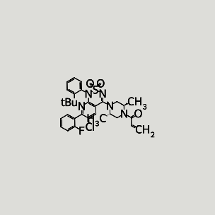 C=CC(=O)N1C[C@H](C)N(C2=NS(=O)(=O)N(c3ccccc3C(C)(C)C)c3nc(-c4ccccc4F)c(Cl)cc32)C[C@H]1C